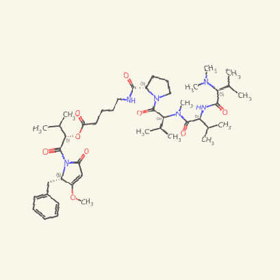 COC1=CC(=O)N(C(=O)[C@@H](OC(=O)CCCCNC(=O)[C@@H]2CCCN2C(=O)[C@H](C(C)C)N(C)C(=O)[C@@H](NC(=O)[C@H](C(C)C)N(C)C)C(C)C)C(C)C)[C@H]1Cc1ccccc1